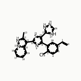 C=Cc1ccc(Cl)c(-c2nc(-c3c(C)nn4ccccc34)sc2-c2nnc[nH]2)c1